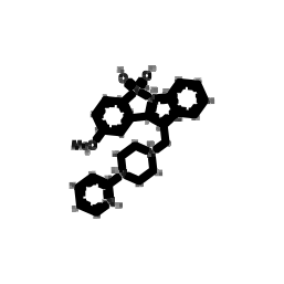 COc1ccc2c(c1)-c1c(CN3CCN(c4ccccn4)CC3)c3ccccc3n1S2(=O)=O